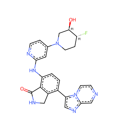 O=C1NCc2c(-c3cnc4cnccn34)ccc(Nc3cc(N4CC[C@@H](F)[C@H](O)C4)ccn3)c21